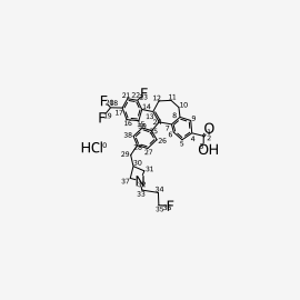 Cl.O=C(O)c1ccc2c(c1)CCCC(c1ccc(C(F)F)cc1F)=C2c1ccc(CC2CN(CCCF)C2)cc1